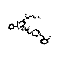 CC(=O)NCCNc1cc(NC(=O)CN2CCCN(Cc3ccccc3F)CC2)nc(-c2ccccc2)n1